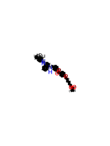 C=C(C)C(=O)OCCCCCCOc1ccc(C(=O)Oc2ccc(CNc3ccc(/N=N/c4ccc(C(C)(C)C(C)(C)C)cc4)c4ccccc34)cc2)cc1